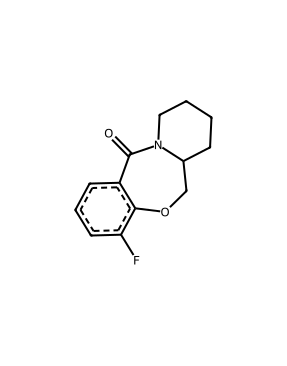 O=C1c2cccc(F)c2OCC2CCCCN12